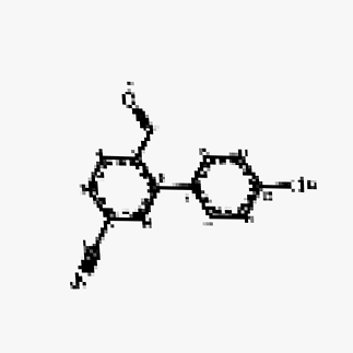 N#Cc1ccc(C=O)c(-c2ccc(Cl)cc2)c1